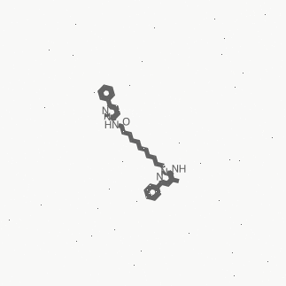 Cc1cc(-c2ccccc2)nn(CCCCCCCCCCC(=O)Nc2ccc(-c3ccccc3)nn2)c1=N